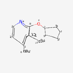 CC(C)(C)c1ccnc(OC2CCCC2)c1C(C)(C)C